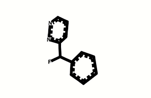 FC(c1ccccc1)c1cccnn1